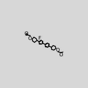 Fc1cc(-c2ccc(C3CCC(OCC4CO4)CC3)cc2)ccc1C1CCC(OCC2CO2)CC1